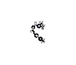 C=C(/C=C\C(=C/CC(F)(F)F)N[C@@H]1CCN(C(=O)CCC2CCN(c3ccc(C(F)(F)F)cc3)CC2)C1)[N+](=O)[O-]